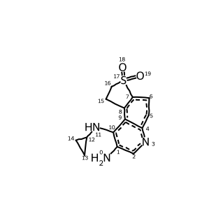 Nc1cnc2ccc3c(c2c1NC1CC1)CCS3(=O)=O